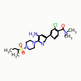 CCC(C)S(=O)(=O)N1CCN(c2ncc(-c3ccc(C(=O)N(C)C)c(Cl)c3)cc2N)CC1